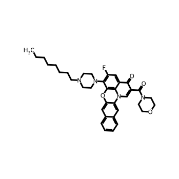 CCCCCCCCN1CCN(c2c(F)cc3c(=O)c(C(=O)N4CCOCC4)cn4c3c2Oc2cc3ccccc3cc2-4)CC1